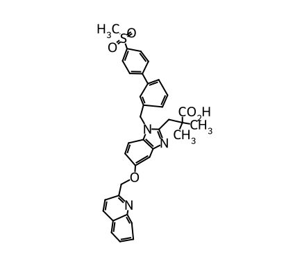 CC(C)(Cc1nc2cc(OCc3ccc4ccccc4n3)ccc2n1Cc1cccc(-c2ccc(S(C)(=O)=O)cc2)c1)C(=O)O